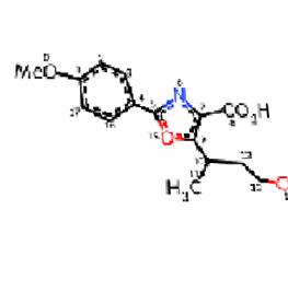 COc1ccc(-c2nc(C(=O)O)c(C(C)CCO)o2)cc1